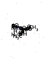 CCN(CC)C1CCN(C(C(=O)Nc2ccc(S(C)(=O)=O)cc2)c2ccc(/C=C/C(=O)Nc3ccccc3N)cc2)C1